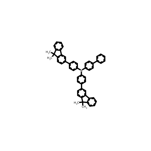 CC1(C)c2ccccc2-c2cc(-c3ccc(N(c4ccc(-c5ccccc5)cc4)c4ccc(-c5ccc6c(c5)-c5ccccc5C6(C)C)cc4)cc3)ccc21